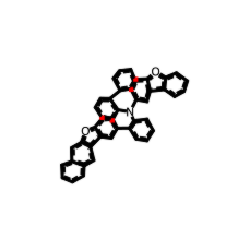 c1ccc(-c2ccccc2N(c2ccc3oc4ccccc4c3c2)c2ccccc2-c2ccc3oc4cc5ccccc5cc4c3c2)cc1